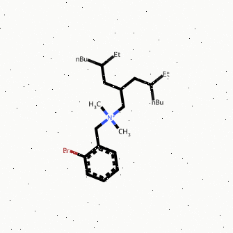 CCCCC(CC)CC(CC(CC)CCCC)C[N+](C)(C)Cc1ccccc1Br